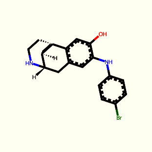 Oc1cc2c(cc1Nc1ccc(Br)cc1)C[C@@H]1NCC[C@]23CCCC[C@H]13